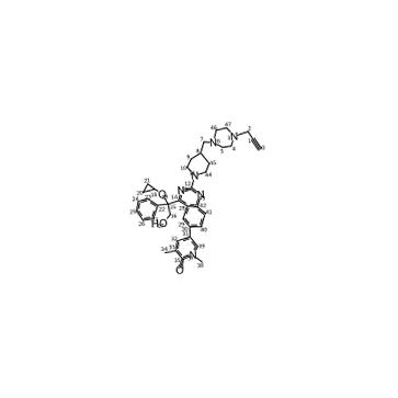 C#CCN1CCN(CC2CCN(c3nc(C(CO)(OC4CC4)c4ccccc4)c4cc(-c5cc(C)c(=O)n(C)c5)ccc4n3)CC2)CC1